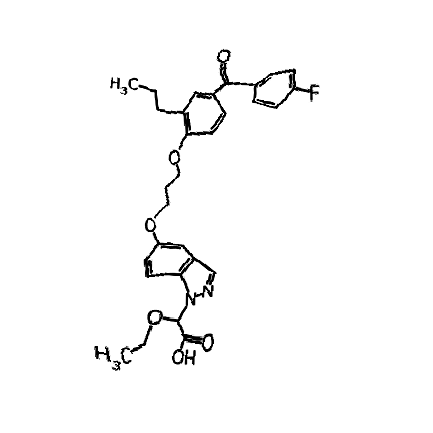 CCCc1cc(C(=O)c2ccc(F)cc2)ccc1OCCCOc1ccc2c(cnn2C(OCC)C(=O)O)c1